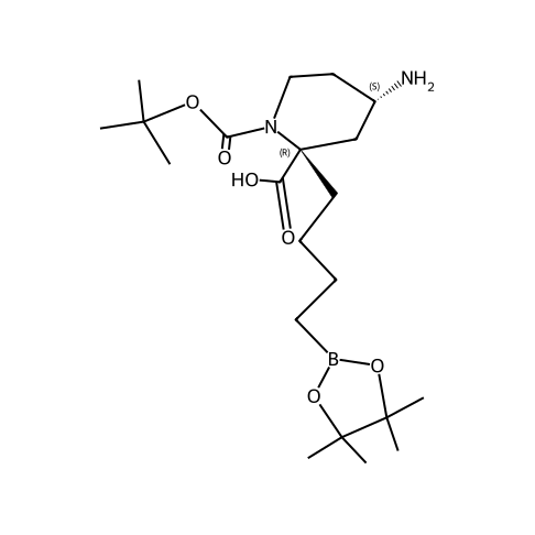 CC(C)(C)OC(=O)N1CC[C@H](N)C[C@]1(CCCCB1OC(C)(C)C(C)(C)O1)C(=O)O